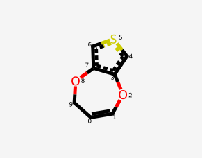 C1=COc2cscc2OC1